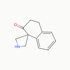 O=C1CCc2ccccc2C12CNC2